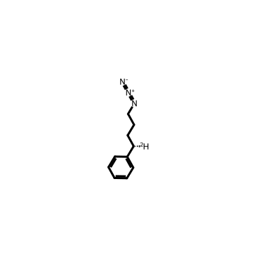 [2H][C@@H](CCCN=[N+]=[N-])c1ccccc1